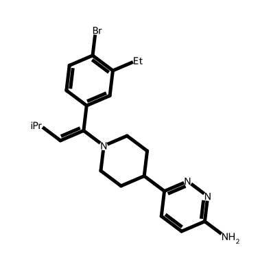 CCc1cc(/C(=C\C(C)C)N2CCC(c3ccc(N)nn3)CC2)ccc1Br